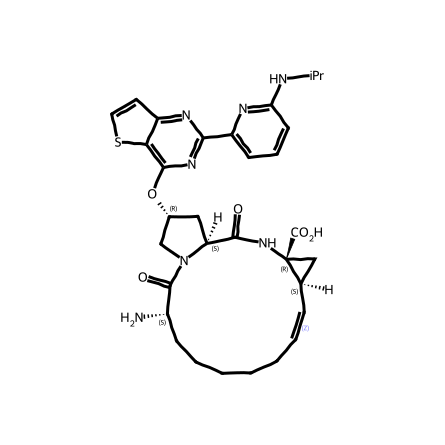 CC(C)Nc1cccc(-c2nc(O[C@@H]3C[C@H]4C(=O)N[C@]5(C(=O)O)C[C@H]5/C=C\CCCCC[C@H](N)C(=O)N4C3)c3sccc3n2)n1